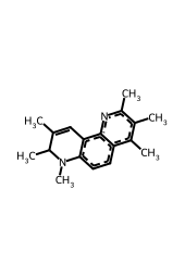 CC1=Cc2c(ccc3c(C)c(C)c(C)nc23)N(C)C1C